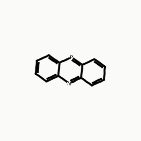 c1ccc2pc3ccccc3nc2c1